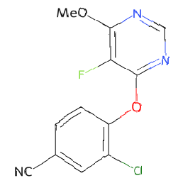 COc1ncnc(Oc2ccc(C#N)cc2Cl)c1F